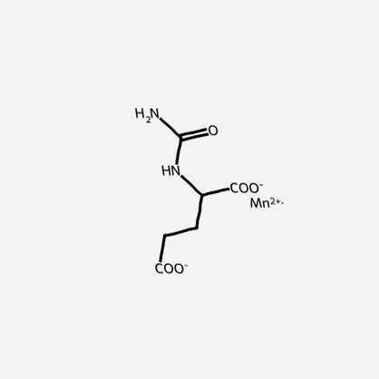 NC(=O)NC(CCC(=O)[O-])C(=O)[O-].[Mn+2]